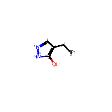 CC(C)Cc1[c]n[nH]c1O